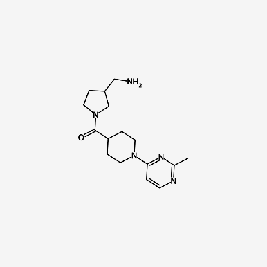 Cc1nccc(N2CCC(C(=O)N3CCC(CN)C3)CC2)n1